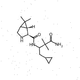 CC(C)(C(N)=O)C(CC1CC1)NC(=O)[C@H]1NCC2[C@@H]1C2(C)C